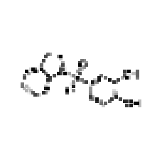 O=S(=O)(c1ccc(O)c(O)c1)N1CCc2ccccc21